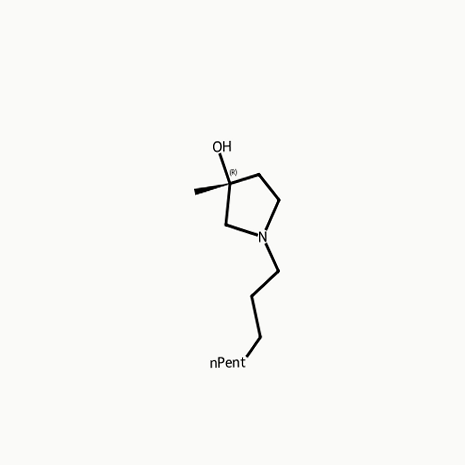 CCCCCCCCN1CC[C@@](C)(O)C1